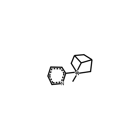 CN1CC2CC(C1)C2Oc1ccccn1